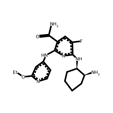 CCOc1cc(Nc2nc(N[C@@H]3CCCC[C@@H]3N)c(F)cc2C(N)=O)ccn1